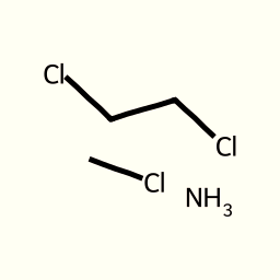 CCl.ClCCCl.N